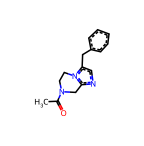 CC(=O)N1CCn2c(Cc3ccccc3)cnc2C1